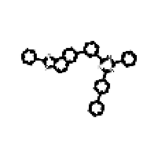 c1ccc(-c2ccc(-c3nc(-c4ccccc4)nc(-c4cccc(-c5ccc6c(ccc7sc(-c8ccccc8)nc76)c5)c4)n3)cc2)cc1